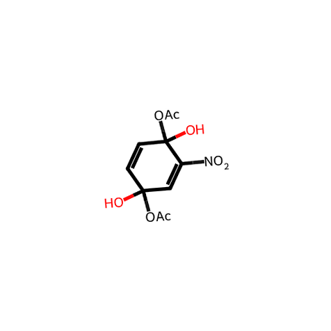 CC(=O)OC1(O)C=CC(O)(OC(C)=O)C([N+](=O)[O-])=C1